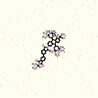 CCC(C)(C)c1ccc2c(=C3CC(C)(C)N(O)C(C)(C)C3)c3cc(N4C(=O)c5ccc(-c6ccc7c(c6)C(=O)N(C(C)(C)CC)C7=O)cc5C4=O)ccc3c(=C3CC(C)(C)N(O)C(C)(C)C3)c2c1